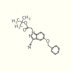 CC(C)(C)OC(=O)Cn1nc(C#N)c2cc(OCc3ccccc3)ccc21